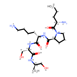 NCCCC[C@H](NC(=O)[C@@H]1CCCN1C(=O)[C@@H](N)CCC(=O)O)C(=O)N[C@@H](CO)C(=O)N[C@@H](CO)C(=O)O